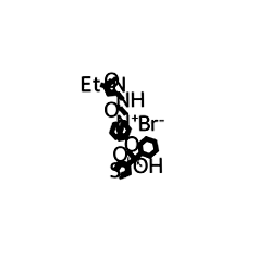 CCc1cc(NC(=O)C[N+]23CCC(CC2)C(OC(=O)[C@](O)(c2ccsc2)C2CCCCC2)C3)no1.[Br-]